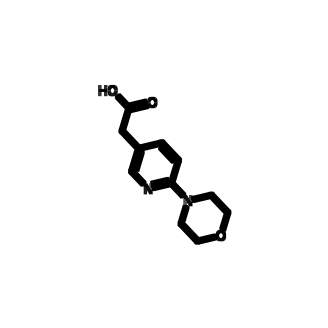 O=C(O)Cc1ccc(N2CCOCC2)nc1